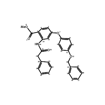 COC(=O)c1ccc(Oc2ccc(OCc3ccccc3)cc2)cc1NC(=O)Cc1ccccc1